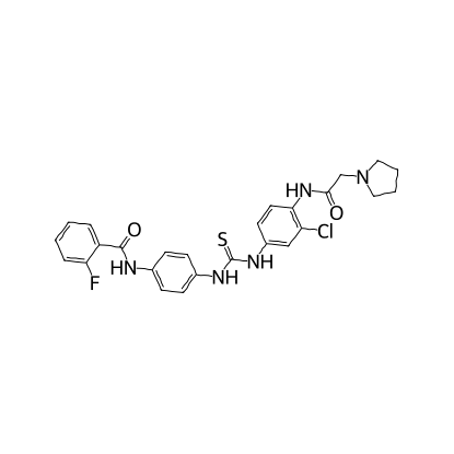 O=C(CN1CCCC1)Nc1ccc(NC(=S)Nc2ccc(NC(=O)c3ccccc3F)cc2)cc1Cl